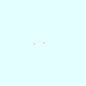 CCCCCCCCC#Cc1ccc(C#Cc2ccc(OCCCCCCCC)cc2)cc1